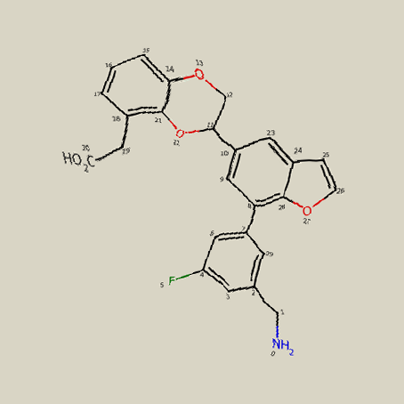 NCc1cc(F)cc(-c2cc(C3COc4cccc(CC(=O)O)c4O3)cc3ccoc23)c1